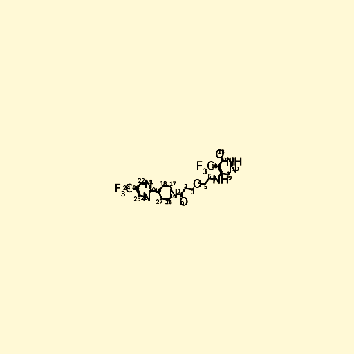 O=C(CCOCCNc1cn[nH]c(=O)c1C(F)(F)F)N1CCC(c2ncc(C(F)(F)F)cn2)CC1